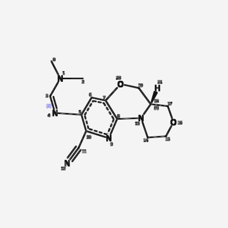 CN(C)/C=N\c1cc2c(nc1C#N)N1CCOC[C@H]1CO2